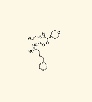 CC(C)(C)C[C@H](NC(=O)N1CCOCC1)C(=O)N[C@H](C#N)CSCc1ccccc1